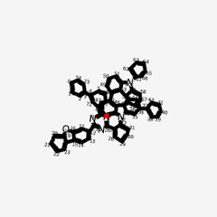 c1ccc(-c2cccc(-c3nc(-c4ccc5c(c4)oc4ccccc45)nc(-c4ccccc4-n4c5cc(-c6ccccc6)ccc5c5c(-c6cccc7c6c6ccccc6n7-c6ccccc6)cccc54)n3)c2)cc1